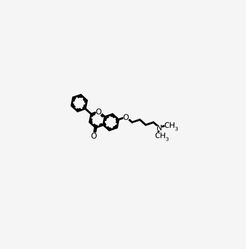 CN(C)CCCCOc1ccc2c(=O)cc(-c3ccccc3)oc2c1